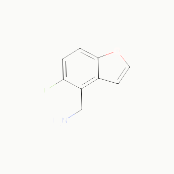 NCc1c(F)ccc2occc12